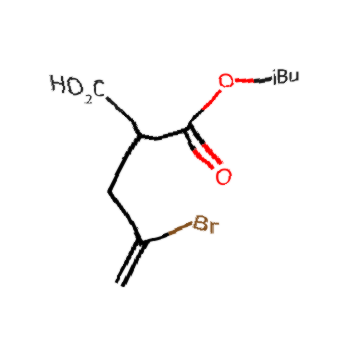 C=C(Br)CC(C(=O)O)C(=O)OC(C)CC